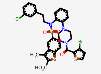 Cc1c(C(=O)O)sc2ccc(S(=O)(=O)N(CCc3cccc(Cl)c3)c3ccccc3N3CCN(C(=O)c4sccc4Br)CC3)cc12